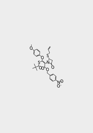 C=CCSC1CC(=O)N1C(C(=O)OCc1ccc([N+](=O)[O-])cc1)=C(Oc1ccc(OC)cc1)SC(=O)C(C)(C)C